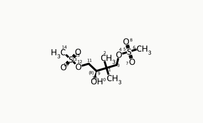 CC(C)(COS(C)(=O)=O)[C@@H](O)COS(C)(=O)=O